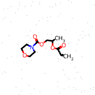 C=CC(=O)OC(C)COC(=O)N1CCOCC1